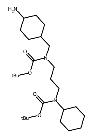 CC(C)(C)OC(=O)N(CCCN(C(=O)OC(C)(C)C)C1CCCCC1)CC1CCC(N)CC1